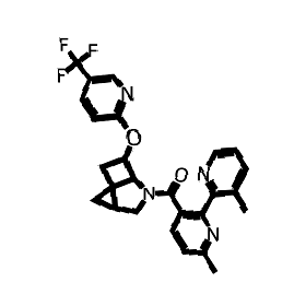 Cc1ccc(C(=O)N2CC3CC34CC(Oc3ccc(C(F)(F)F)cn3)C24)c(-c2ncccc2C)n1